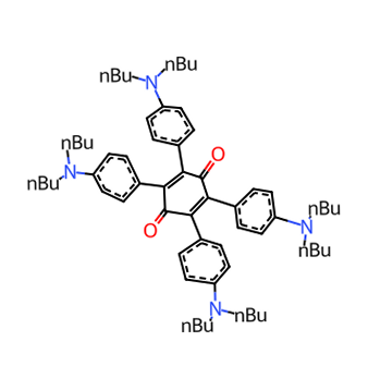 CCCCN(CCCC)c1ccc(C2=C(c3ccc(N(CCCC)CCCC)cc3)C(=O)C(c3ccc(N(CCCC)CCCC)cc3)=C(c3ccc(N(CCCC)CCCC)cc3)C2=O)cc1